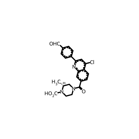 C[C@@H]1CN(C(=O)c2ccc3c(Cl)cc(-c4ccc(C=O)cc4)nc3c2)CCN1C(=O)O